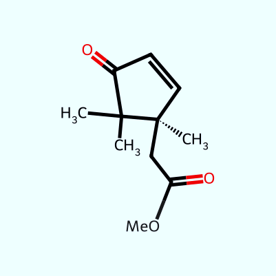 COC(=O)C[C@]1(C)C=CC(=O)C1(C)C